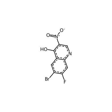 O=[N+]([O-])c1cnc2cc(F)c(Br)cc2c1O